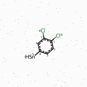 Clc1cc[c]([SnH])cc1Cl